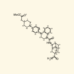 COC(=O)CC1CCN(c2ccc(N3CCN(C(=O)NC4C5CC6CC4CC(C(N)=O)(C6)C5)c4ccccc43)nc2)CC1